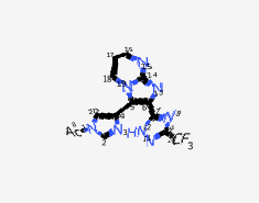 CC(=O)n1cnc(-c2c(-c3nc(C(F)(F)F)n[nH]3)nc3ncccn23)c1